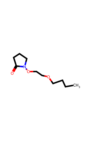 CCCCOCCON1CCCC1=O